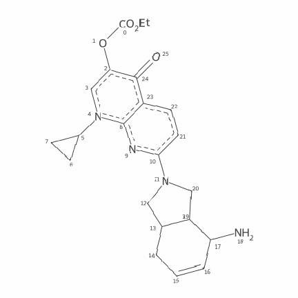 CCOC(=O)Oc1cn(C2CC2)c2nc(N3CC4CC=CC(N)C4C3)ccc2c1=O